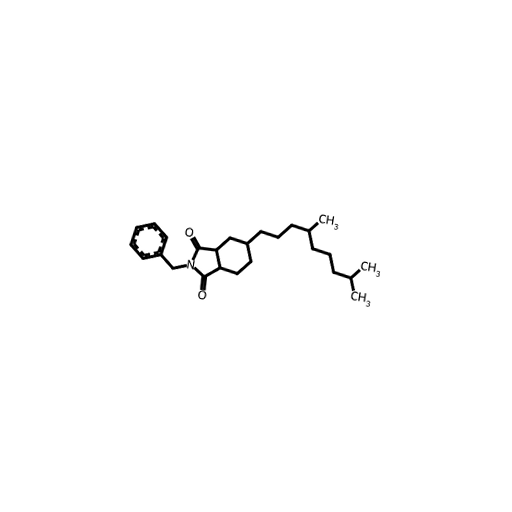 CC(C)CCCC(C)CCCC1CCC2C(=O)N(Cc3ccccc3)C(=O)C2C1